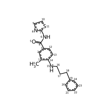 Cc1cc(C(=O)Nc2nccs2)ccc1NCCCc1ccccc1